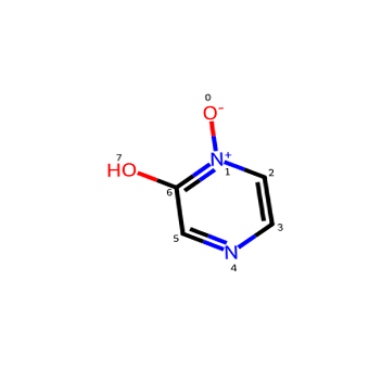 [O-][n+]1ccncc1O